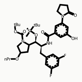 CCCOC1CC([C@@H](O[Si](C)(C)C(C)(C)C)[C@H](Cc2cc(F)cc(F)c2)NC(=O)c2cc(O)cc(N3CCCC3=O)c2)N(C(=O)OC(C)(C)C)C1